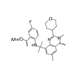 C=C(OC)c1cc(F)ccc1NC(C)(C)c1cc(C)cc2c1N=C(C1CCOCC1)N(C)C2=C